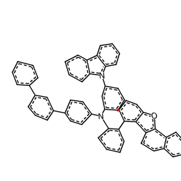 c1ccc(-c2cccc(-c3ccc(N(c4cccc(-n5c6ccccc6c6ccccc65)c4)c4ccccc4-c4cccc5oc6c7ccccc7ccc6c45)cc3)c2)cc1